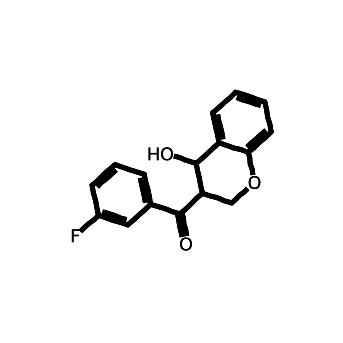 O=C(c1cccc(F)c1)C1COc2ccccc2C1O